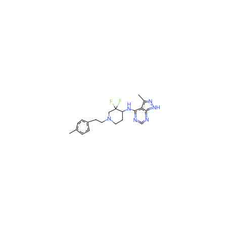 Cc1ccc(CCN2CCC(Nc3ncnc4[nH]nc(C)c34)C(F)(F)C2)cc1